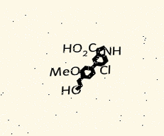 COc1cc(-c2cc3c(C(=O)O)c[nH]c3cc2Cl)ccc1CCO